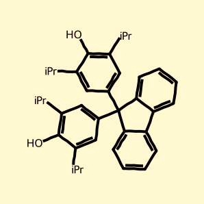 CC(C)c1cc(C2(c3cc(C(C)C)c(O)c(C(C)C)c3)c3ccccc3-c3ccccc32)cc(C(C)C)c1O